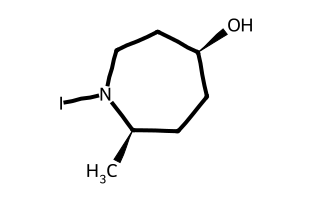 C[C@@H]1CC[C@H](O)CCN1I